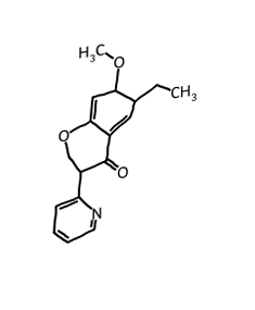 CCC1C=C2C(=O)C(c3ccccn3)COC2=CC1OC